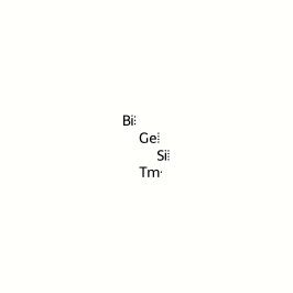 [Bi].[Ge].[Si].[Tm]